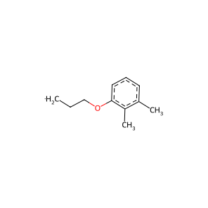 [CH2]CCOc1cccc(C)c1C